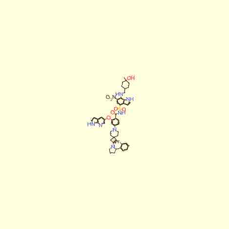 CC(C)c1ccccc1C1CCCN1C1CC2(CCN(c3ccc(C(=O)NS(=O)(=O)c4cc([N+](=O)[O-])c(NCC5CCC(C)(O)CC5)c5[nH]ccc45)c(Oc4cnc5[nH]ccc5c4)c3)CC2)C1